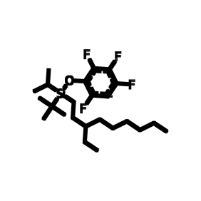 CCCCCCC(CC)CC[Si](Oc1c(F)[c]c(F)c(F)c1F)(C(C)C)C(C)(C)C